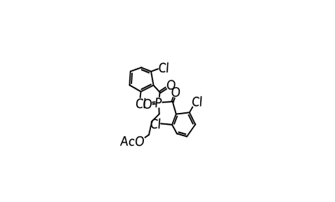 CC(=O)OCCCP(=O)(C(=O)c1c(Cl)cccc1Cl)C(=O)c1c(Cl)cccc1Cl